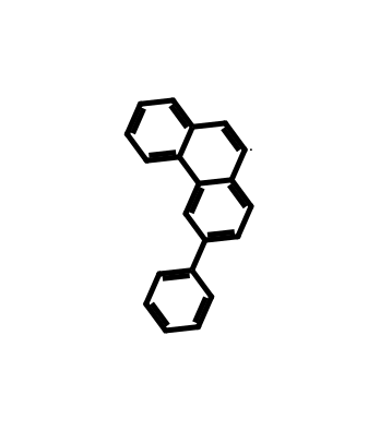 [c]1cc2ccccc2c2cc(-c3ccccc3)ccc12